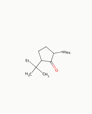 CCCCCCC1CCC(C(C)(C)CC)C1=O